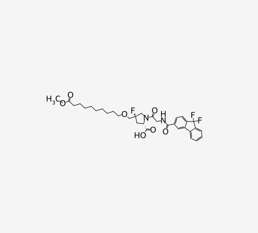 COC(=O)CCCCCCCCCOC[C@@]1(F)C[C@@H](C(=O)O)N(C(=O)CNC(=O)c2ccc3c(c2)-c2ccccc2C3(F)F)C1